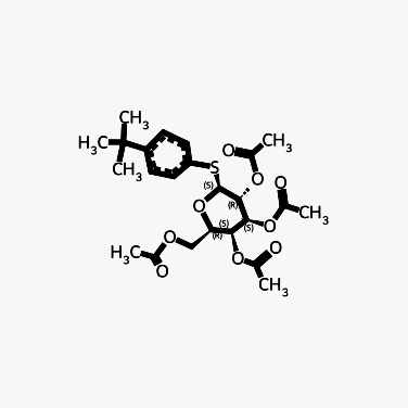 CC(=O)OC[C@H]1O[C@@H](Sc2ccc(C(C)(C)C)cc2)[C@H](OC(C)=O)[C@@H](OC(C)=O)[C@H]1OC(C)=O